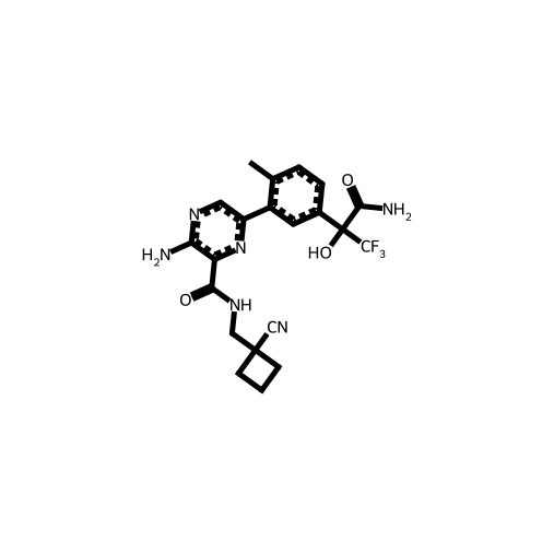 Cc1ccc(C(O)(C(N)=O)C(F)(F)F)cc1-c1cnc(N)c(C(=O)NCC2(C#N)CCC2)n1